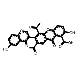 CC(=O)c1cc2c(=O)c3c(C(=O)O)c(O)ccc3oc2c(C(C)=O)c1-c1coc2ccc(O)cc2c1=O